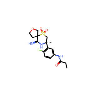 CCC(=O)Nc1ccc(F)c([C@]2(C)CS(=O)(=O)[C@]3(CCOC3)C(=N)N2)c1